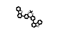 CC1(C)Oc2cc(-c3cccc4c3oc3ccccc34)ccc2-c2cc(-c3cccc4oc5ccccc5c34)ccc2O1